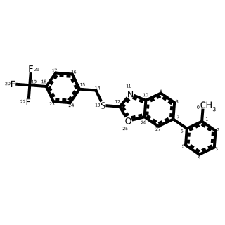 Cc1ccccc1-c1ccc2nc(SCc3ccc(C(F)(F)F)cc3)oc2c1